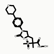 CC(CC1CN(c2ccc(C3CCOCC3)cc2)C(=O)O1)(C(=O)NO)S(C)(=O)=O